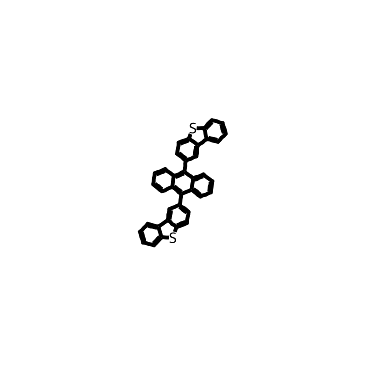 c1ccc2c(c1)sc1ccc(-c3c4ccccc4c(-c4ccc5sc6ccccc6c5c4)c4ccccc34)cc12